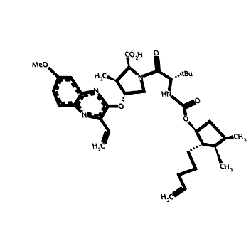 C=CCCC[C@H]1[C@H](C)[C@H](C)C[C@@H]1OC(=O)N[C@H](C(=O)N1C[C@H](Oc2nc3cc(OC)ccc3nc2C=C)[C@@H](C)[C@H]1C(=O)O)C(C)(C)C